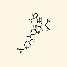 CC(C)n1nccc1C(=O)N[C@H](C(=O)Nc1ccc([C@H](C)C(=O)N2CCN(CC(F)(F)F)CC2)cc1F)C(C1CC1)C1CC1